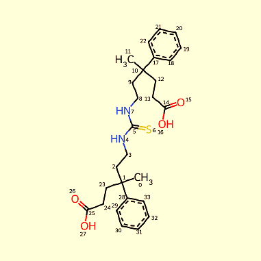 CC(CCNC(=S)NCCC(C)(CCC(=O)O)c1ccccc1)(CCC(=O)O)c1ccccc1